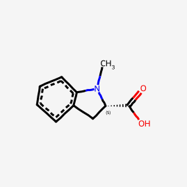 CN1c2ccccc2C[C@H]1C(=O)O